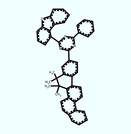 CC1(C)c2cc(-c3nc(-c4ccccc4)nc(-c4cccc5oc6ccccc6c45)n3)ccc2-c2ccc3c(ccc4ccccc43)c2C1(C)C